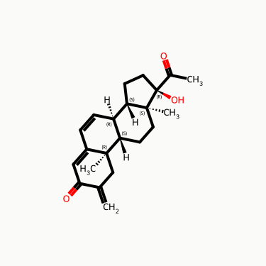 C=C1C[C@@]2(C)C(=CC1=O)C=C[C@@H]1[C@@H]2CC[C@@]2(C)[C@H]1CC[C@]2(O)C(C)=O